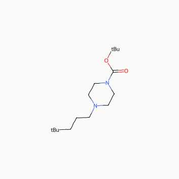 CC(C)(C)CCCN1CCN(C(=O)OC(C)(C)C)CC1